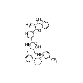 C[C@H](c1ccccc1)N(C)C(=O)c1cncc(C(=O)N[C@@H](Cc2ccccc2)[C@H](O)CNC2(c3cccc(C(F)(F)F)c3)CCCCC2)c1